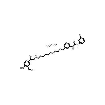 CC(=O)O.O=C(Nc1cccc(Cl)c1)Nc1cccc(COCCOCCCCCCNC[C@H](O)c2ccc(O)c(CO)c2)c1